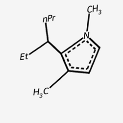 CCCC(CC)c1c(C)ccn1C